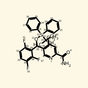 Cc1cc(C(N)=O)ncc1C(O[Si](c1ccccc1)(c1ccccc1)C(C)(C)C)c1c(F)ccc(F)c1F